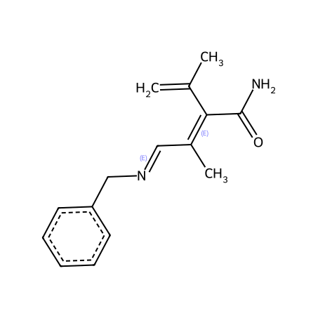 C=C(C)/C(C(N)=O)=C(C)\C=N\Cc1ccccc1